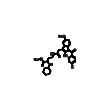 COc1ccc2c(c1)c(CC(=O)NCCC(NC1CCCCC1)C(=O)OC(C)(C)C)c(C)n2C(=O)c1ccc(Cl)cc1